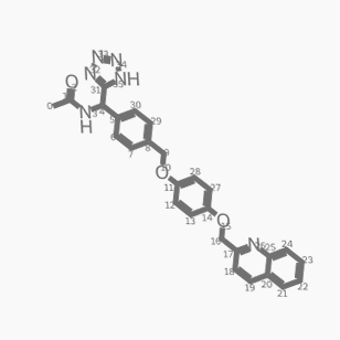 CC(=O)NC(c1ccc(COc2ccc(OCc3ccc4ccccc4n3)cc2)cc1)c1nnn[nH]1